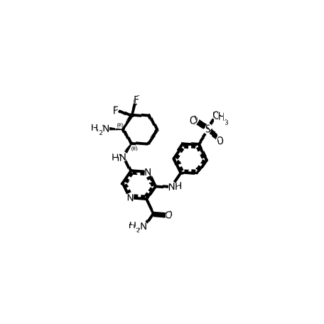 CS(=O)(=O)c1ccc(Nc2nc(N[C@@H]3CCCC(F)(F)[C@@H]3N)cnc2C(N)=O)cc1